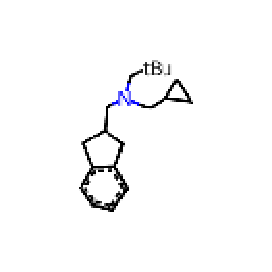 CC(C)(C)CN(CC1CC1)CC1Cc2ccccc2C1